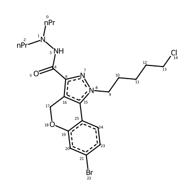 CCCN(CCC)NC(=O)c1nn(CCCCCCl)c2c1COc1cc(Br)ccc1-2